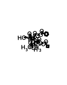 C[C@H]1C(S[C@]2(C(=O)OCOC(=O)C3CCC3)CN[C@H](C(=O)N(C)C)C2)=C(C(=O)OCOC(=O)c2ccccc2)N2C(=O)[C@@H](CCO)[C@@H]12